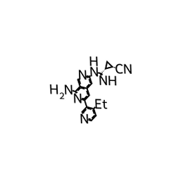 CCc1ccncc1-c1cc2cc(NC(=N)[C@@H]3C[C@@H]3C#N)ncc2c(N)n1